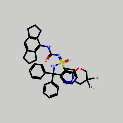 CC1(C(F)(F)F)COc2c(S(=O)(=NC(=O)Nc3c4c(cc5c3CCC5)CCC4)NC(c3ccccc3)(c3ccccc3)c3ccccc3)cnn2C1